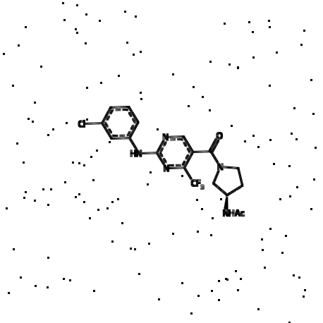 CC(=O)N[C@@H]1CCN(C(=O)c2cnc(Nc3cccc(Cl)c3)nc2C(F)(F)F)C1